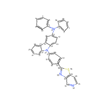 c1ccc(N(c2ccccc2)c2ccc3c(c2)c2ccccc2n3-c2ccc(-c3nc4cnccc4s3)cc2)cc1